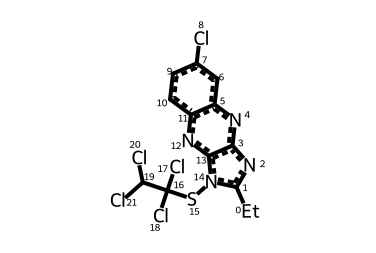 CCc1nc2nc3cc(Cl)ccc3nc2n1SC(Cl)(Cl)C(Cl)Cl